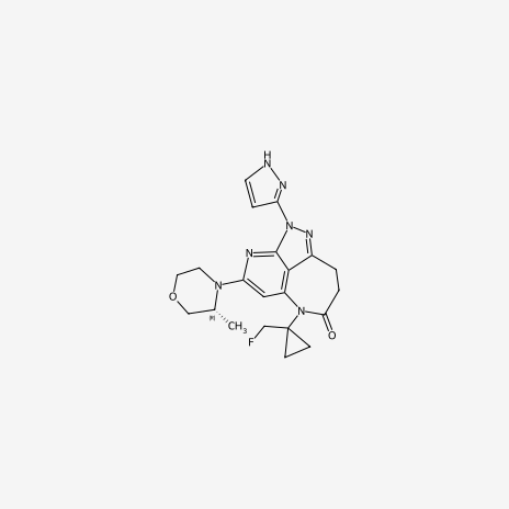 C[C@@H]1COCCN1c1cc2c3c(nn(-c4cc[nH]n4)c3n1)CCC(=O)N2C1(CF)CC1